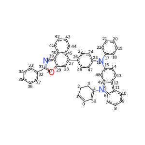 C1=CCCC(n2c3ccccc3c3ccc(N(c4ccccc4)c4ccc(-c5cc6oc(-c7ccccc7)nc6c6ccccc56)cc4)cc32)=C1